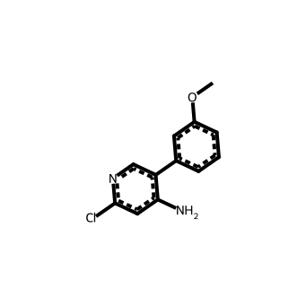 COc1cccc(-c2cnc(Cl)cc2N)c1